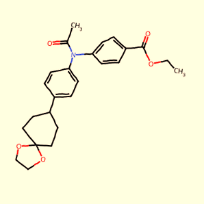 CCOC(=O)c1ccc(N(C(C)=O)c2ccc(C3CCC4(CC3)OCCO4)cc2)cc1